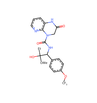 CCC(O)(OC)C(NC(=O)N1CC(=O)Nc2cccnc21)c1ccc(OC(F)(F)F)cc1